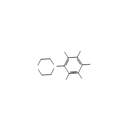 Cc1c(C)c(N2CCOCC2)c(C)c(C)c1N